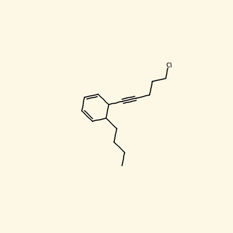 CCCCC1C=CC=CC1C#CCCCCl